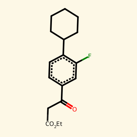 CCOC(=O)CC(=O)c1ccc(C2CCCCC2)c(F)c1